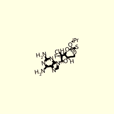 CC(C)O[P@]1(=S)OC[C@H]2O[C@@H](n3cnc4c(N)nc(N)nc43)[C@](F)(Cl)[C@@H]2O1